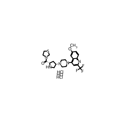 COc1ccc2nc(C(F)(F)F)cc(N3CCN([C@@H]4CN[C@H](C(=O)N5CCSC5)C4)CC3)c2c1.Cl.Cl.Cl